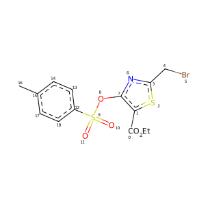 CCOC(=O)c1sc(CBr)nc1OS(=O)(=O)c1ccc(C)cc1